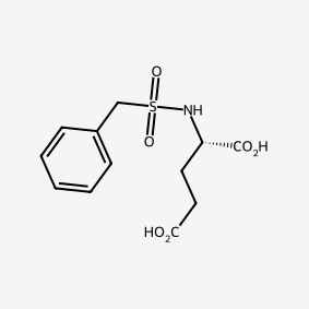 O=C(O)CC[C@H](NS(=O)(=O)Cc1ccccc1)C(=O)O